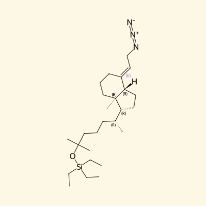 CC[Si](CC)(CC)OC(C)(C)CCC[C@@H](C)[C@H]1CC[C@H]2/C(=C/CN=[N+]=[N-])CCC[C@]12C